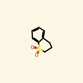 O=S1(=O)CCCc2c[c]ccc21